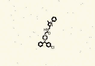 Cc1cc(CNC(=O)CN2CCN(C(c3ccccc3)c3ccc(Cl)cc3)CC2)nn1-c1ccccc1